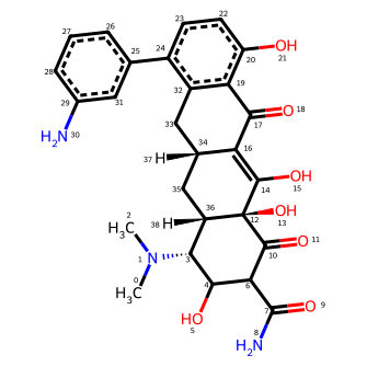 CN(C)[C@H]1C(O)C(C(N)=O)C(=O)[C@@]2(O)C(O)=C3C(=O)c4c(O)ccc(-c5cccc(N)c5)c4C[C@H]3C[C@@H]12